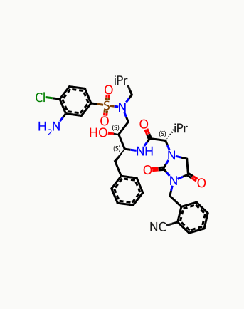 CC(C)CN(C[C@H](O)[C@H](Cc1ccccc1)NC(=O)[C@H](C(C)C)N1CC(=O)N(Cc2ccccc2C#N)C1=O)S(=O)(=O)c1ccc(Cl)c(N)c1